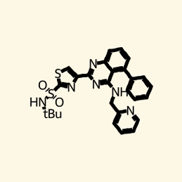 CC(C)(C)NS(=O)(=O)c1nc(-c2nc(NCc3ccccn3)c3c(-c4ccccc4)cccc3n2)cs1